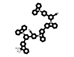 CC1(C)c2ccccc2-c2cc(-c3cc(-c4ccc(-n5c6ccccc6c6cc(-c7ccc8c(c7)c7ccccc7n8-c7cc(C#N)cc(-c8ccc(-n9c%10ccccc%10c%10ccccc%109)cc8)c7)ccc65)cc4C#N)cc(-n4c5ccccc5c5ccccc54)c3)ccc21